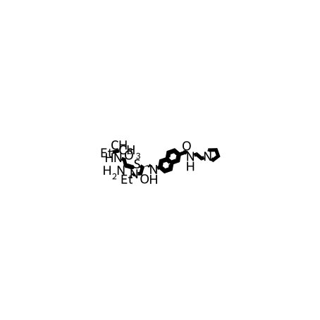 CCN1C(=O)[C@@H](CNc2ccc3cc(C(=O)NCCN4CCCC4)ccc3c2)S/C1=C(/N)C(=O)NC(C)(C)CC